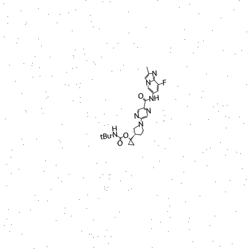 Cc1cn2cc(NC(=O)c3cnc(N4CC[C@@H](C5(OC(=O)NC(C)(C)C)CC5)C4)cn3)cc(F)c2n1